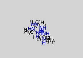 CC1(C)CC(Nc2nc3nc(n2)NC2CC(C)(C)NC4(C2)CC2(CC(CC(C)(C)N2)N3)C4)CC(C)(C)N1